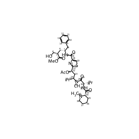 COC(=O)[C@@H](CO)C[C@H](Cc1ccccc1)NC(=O)c1csc([C@@H](CC(C(C)C)N(C)C(=O)[C@@H](NC(=O)[C@H]2CCCCN2C)C(C)C)OC(C)=O)n1